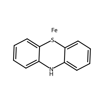 [Fe].c1ccc2c(c1)Nc1ccccc1S2